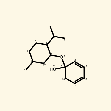 CC1CCC(C(C)C)C(OC2(O)C=CC=CC2)C1